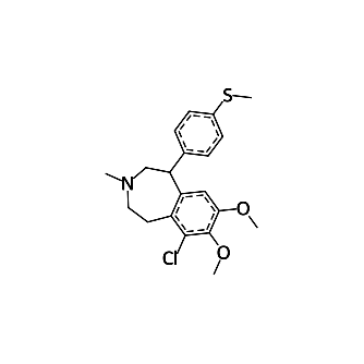 COc1cc2c(c(Cl)c1OC)CCN(C)CC2c1ccc(SC)cc1